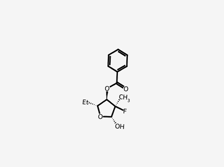 CC[C@H]1O[C@@H](O)[C@](C)(F)[C@@H]1OC(=O)c1ccccc1